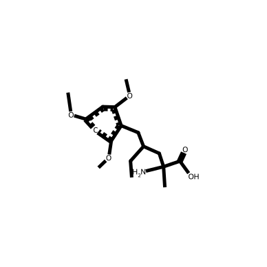 CCC(Cc1c(OC)cc(OC)cc1OC)CC(C)(N)C(=O)O